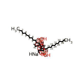 CCCCCCCCCCCCC(C1(C2(OC3(C4(C(CCCCCCCCCCCC)S(=O)(=O)O)CCO4)CCO3)CCO2)CCO1)S(=O)(=O)O.[NaH]